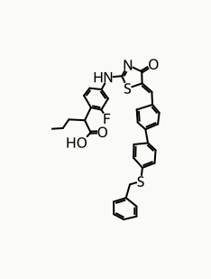 CCCC(C(=O)O)c1ccc(NC2=NC(=O)C(=Cc3ccc(-c4ccc(SCc5ccccc5)cc4)cc3)S2)cc1F